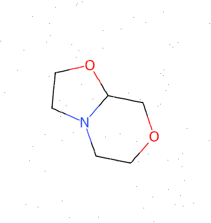 C1CN2CCOC2CO1